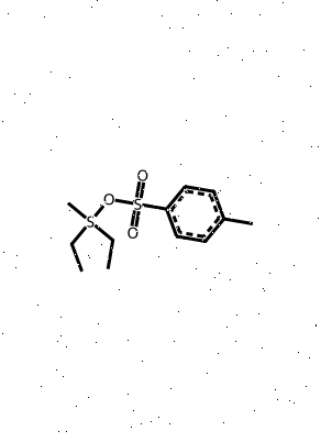 CCS(C)(CC)OS(=O)(=O)c1ccc(C)cc1